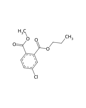 CCCOC(=O)c1cc(Cl)ccc1C(=O)OC